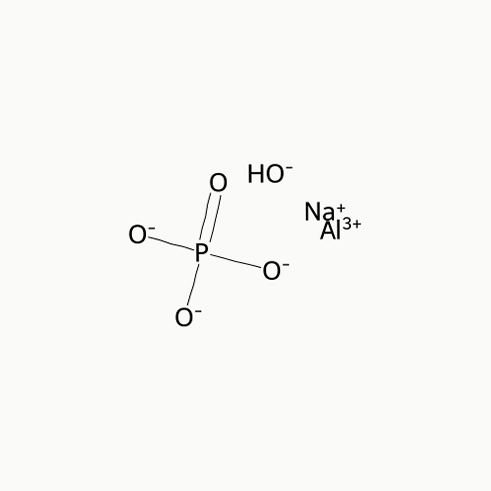 O=P([O-])([O-])[O-].[Al+3].[Na+].[OH-]